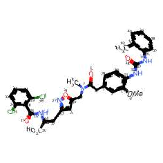 COc1cc(CC(=O)N(C)Cc2cc(CC(NC(=O)c3c(Cl)cccc3Cl)C(=O)O)no2)ccc1NC(=O)Nc1ccccc1C